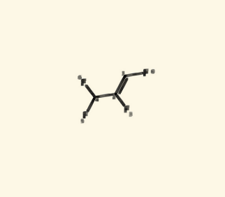 FC=C(F)C(F)F